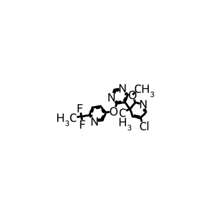 COC1N=CC(Cl)=CC1(C)c1cncnc1Oc1ccc(C(C)(F)F)nc1